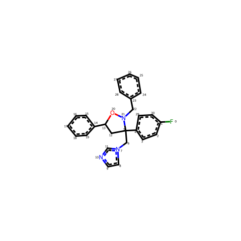 Fc1ccc(C2(Cn3ccnc3)CC(c3ccccc3)ON2Cc2ccccc2)cc1